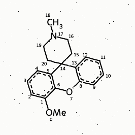 COc1cccc2c1Oc1ccccc1C21CCN(C)CC1